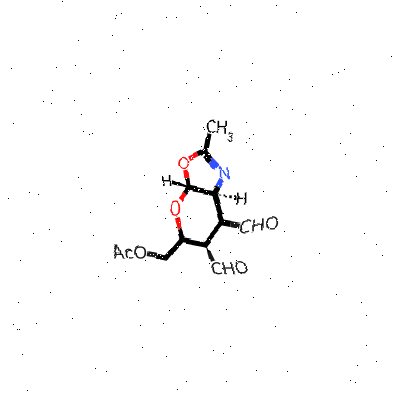 CC(=O)OCC1O[C@@H]2OC(C)=N[C@H]2C(C=O)[C@H]1C=O